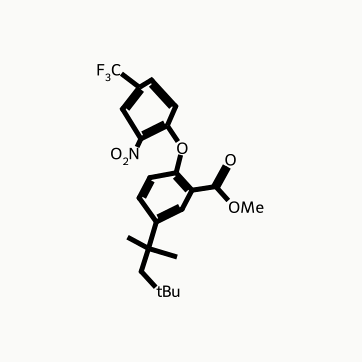 COC(=O)c1cc(C(C)(C)CC(C)(C)C)ccc1Oc1ccc(C(F)(F)F)cc1[N+](=O)[O-]